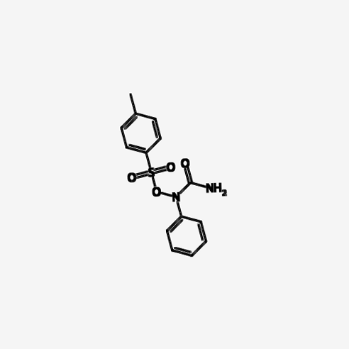 Cc1ccc(S(=O)(=O)ON(C(N)=O)c2ccccc2)cc1